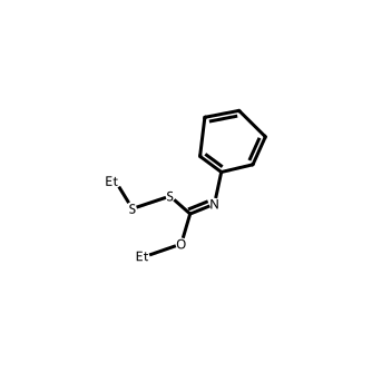 CCOC(=Nc1ccccc1)SSCC